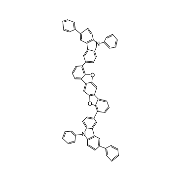 c1ccc(-c2ccc3c(c2)c2cc(-c4cccc5c4oc4cc6c(cc45)oc4c(-c5ccc7c(c5)c5cc(-c8ccccc8)ccc5n7-c5ccccc5)cccc46)ccc2n3-c2ccccc2)cc1